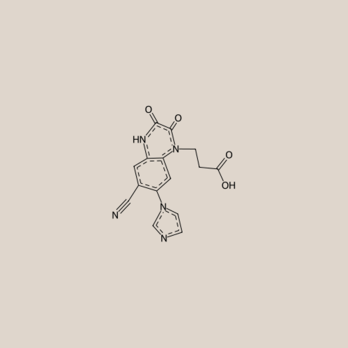 N#Cc1cc2[nH]c(=O)c(=O)n(CCC(=O)O)c2cc1-n1ccnc1